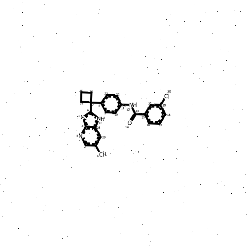 N#Cc1cnc2nc(C3(c4ccc(NC(=O)c5cccc(Cl)c5)cc4)CCC3)[nH]c2c1